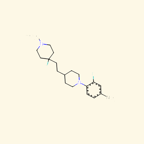 O=C(O)N1CCC(F)(CCC2CCN(c3ccc([N+](=O)[O-])cc3F)CC2)CC1